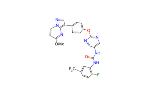 COc1ccn2ncc(-c3ccc(Oc4ncc(NC(=O)Nc5cc(C(F)(F)F)ccc5F)cn4)cc3)c2n1